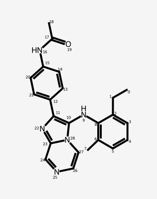 CCc1cccc(C)c1Nc1c(-c2ccc(NC(C)=O)cc2)nc2cnccn12